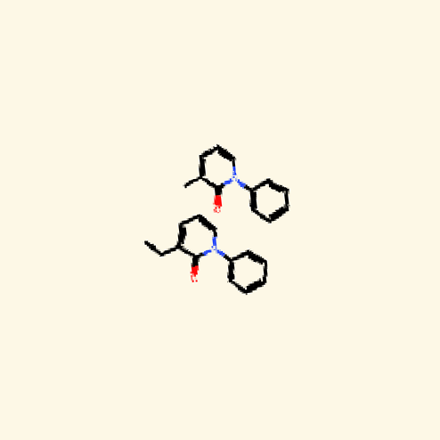 CCc1cccn(-c2ccccc2)c1=O.Cc1cccn(-c2ccccc2)c1=O